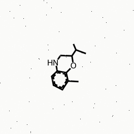 Cc1cccc2c1OC(C(C)C)CN2